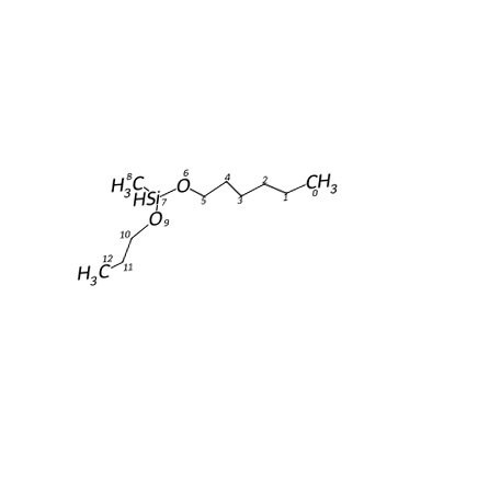 CCCCCCO[SiH](C)OCCC